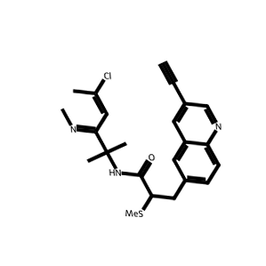 C#Cc1cnc2ccc(CC(SC)C(=O)NC(C)(C)C(/C=C(\C)Cl)=N/C)cc2c1